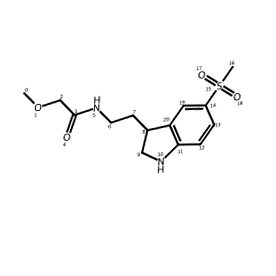 COCC(=O)NCCC1CNc2ccc(S(C)(=O)=O)cc21